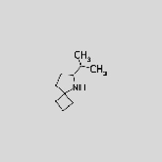 CC(C)C1CCC2(CCC2)N1